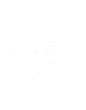 C=C(NCC)c1noc(-c2cc(C(C)C)c(C)cc2C)c1NC(=O)C1CCCCC1